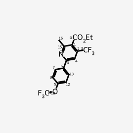 CCOC(=O)c1c(C(F)(F)F)cc(-c2ccc(OC(F)(F)F)cc2)nc1C